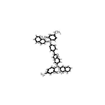 Cc1ccc(N(c2ccc(-c3cc4cc(N(c5ccc6ccccc6c5)c5ccc(C)cc5C)ccc4o3)cc2)c2ccc3ccccc3c2)c(C)c1